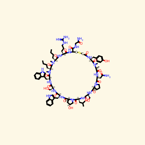 CCCC[C@H]1C(=O)N(C)[C@@H](CCCC)C(=O)N[C@@H](CCCNC(=N)N)C(=O)NC(C(=O)NCC(N)=O)CSCC(=O)N[C@@H](Cc2ccc(O)cc2)C(=O)N(C)[C@@H](C)C(=O)N[C@@H](CC(N)=O)C(=O)N2CCC[C@H]2C(=O)N[C@@H](CO)C(=O)N[C@@H](CC(C)C)C(=O)N2C[C@H](O)C[C@H]2C(=O)N[C@@H](Cc2c[nH]c3ccccc23)C(=O)N[C@@H](CO)C(=O)N[C@@H](Cc2c[nH]c3ccccc23)C(=O)N1C